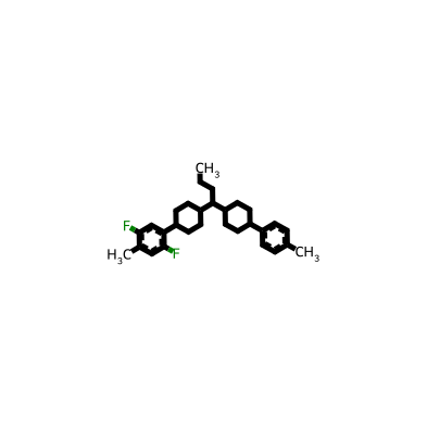 CCCC(C1CCC(c2ccc(C)cc2)CC1)C1CCC(c2cc(F)c(C)cc2F)CC1